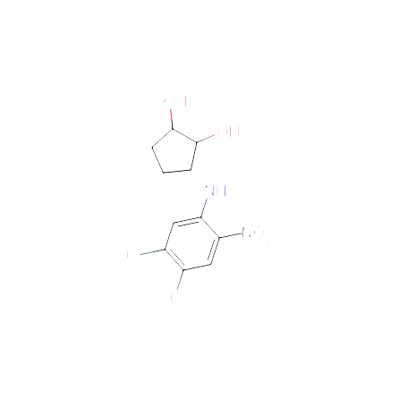 O=[N+]([O-])c1cc(Cl)c(Cl)cc1N[C@@H]1CCC(O)C1O